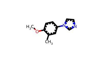 COc1ccc(-n2ccnc2)cc1C